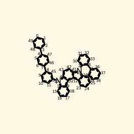 c1ccc(-c2ccc(-c3cccc(-n4c5ccccc5c5c6c7ccccc7n(-c7ccccc7-c7ccccc7)c6ccc54)c3)cc2)cc1